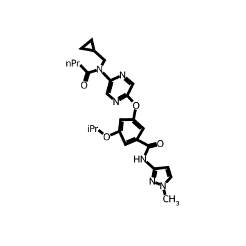 CCCC(=O)N(CC1CC1)c1cnc(Oc2cc(OC(C)C)cc(C(=O)Nc3ccn(C)n3)c2)cn1